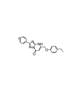 CCc1ccc(OCc2cc(=O)n3nc(-c4ccncc4)nc3[nH]2)cc1